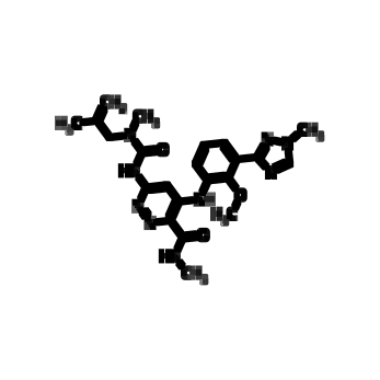 C=C(C)CN(C)C(=O)Nc1cc(Nc2cccc(-c3ncn(C)n3)c2OC)c(C(=O)NC)nn1